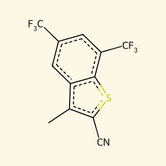 Cc1c(C#N)sc2c(C(F)(F)F)cc(C(F)(F)F)cc12